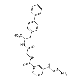 NN=CNc1cccc(C(=O)NCC(=O)NC(Cc2ccc(-c3ccccc3)cc2)C(=O)O)c1